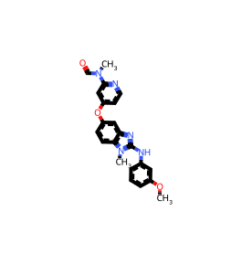 COc1cccc(Nc2nc3cc(Oc4ccnc(N(C)C=O)c4)ccc3n2C)c1